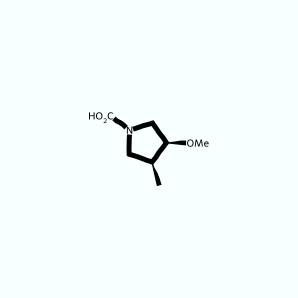 CO[C@@H]1CN(C(=O)O)C[C@@H]1C